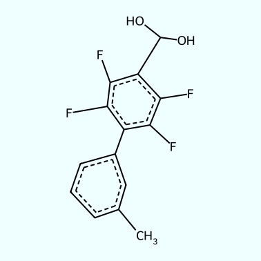 Cc1cccc(-c2c(F)c(F)c(C(O)O)c(F)c2F)c1